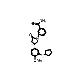 COc1ccc([C@@H]2CC(=O)N(c3cccc(C(=N)N)c3)C2)cc1OC1CCCC1